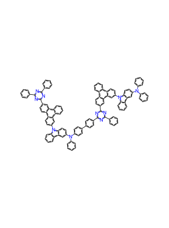 c1ccc(-c2nc(-c3ccccc3)nc(-c3ccc4c5ccc(-n6c7ccccc7c7cc(N(c8ccccc8)c8ccc(-c9ccc(-c%10nc(-c%11ccccc%11)nc(-c%11ccc%12c%13ccccc%13c%13ccc(-n%14c%15ccccc%15c%15cc(N(c%16ccccc%16)c%16ccccc%16)ccc%15%14)cc%13c%12c%11)n%10)cc9)cc8)ccc76)cc5c5ccccc5c4c3)n2)cc1